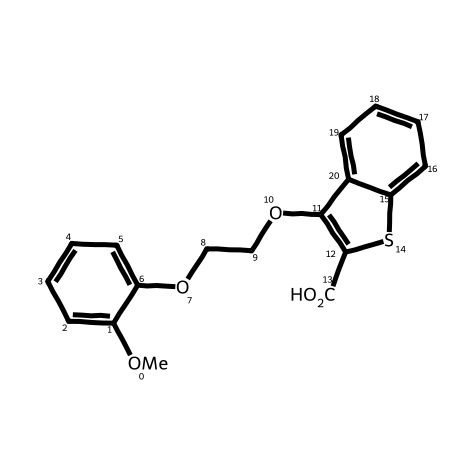 COc1ccccc1OCCOc1c(C(=O)O)sc2ccccc12